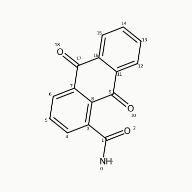 [NH]C(=O)c1cccc2c1C(=O)c1ccccc1C2=O